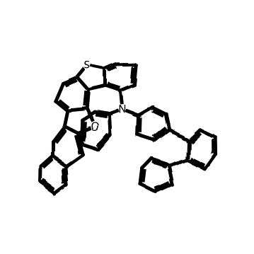 c1ccc(-c2ccccc2-c2ccc(N(c3ccccc3)c3cccc4sc5ccc6c7cc8ccccc8cc7oc6c5c34)cc2)cc1